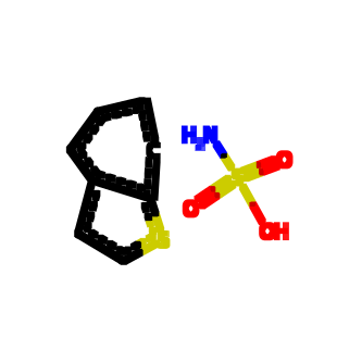 NS(=O)(=O)O.c1ccc2sccc2c1